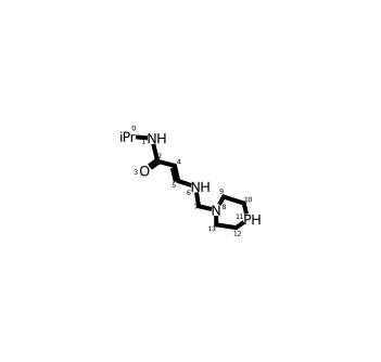 CC(C)NC(=O)/C=C/NCN1CCPCC1